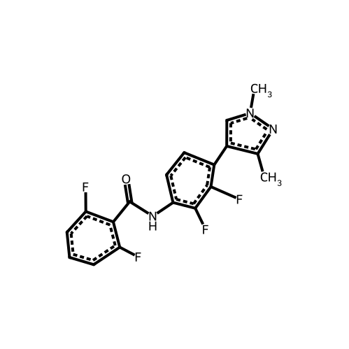 Cc1nn(C)cc1-c1ccc(NC(=O)c2c(F)cccc2F)c(F)c1F